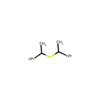 CCCC(C)SC(C)CCC